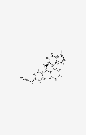 N#CCc1ccc(-c2nc3ccc4[nH]ncc4c3c3c2CCCC3)cc1